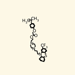 CN(C)c1ccc(OCC(=O)OCCN2CCN(CCCN3c4ccccc4Sc4ccc(C(F)(F)F)cc43)CC2)cc1